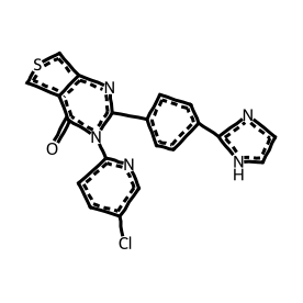 O=c1c2cscc2nc(-c2ccc(-c3ncc[nH]3)cc2)n1-c1ccc(Cl)cn1